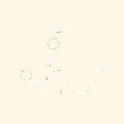 COc1ccc(S(=O)(=O)N[C@@H](CCC(=O)NCCOC(C)COCCN)C(=O)N2CCC[C@H]2C(=O)NCc2ccc(C(=N)N)cc2)cc1